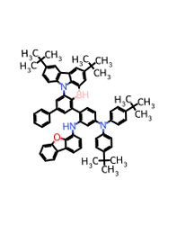 CC(C)(C)c1ccc(N(c2ccc(C(C)(C)C)cc2)c2ccc(-c3cc(-c4ccccc4)cc4c3Bc3cc(C(C)(C)C)cc5c6cc(C(C)(C)C)ccc6n-4c35)c(Nc3cccc4c3oc3ccccc34)c2)cc1